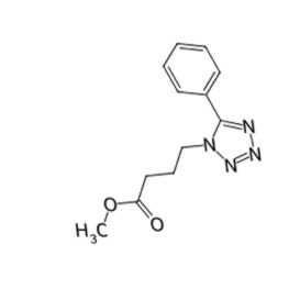 COC(=O)CCCn1nnnc1-c1ccccc1